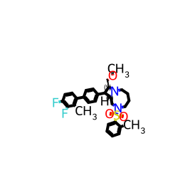 COC[C@@H]1C(c2ccc(-c3ccc(F)c(F)c3C)cc2)[C@@H]2CN(S(=O)(=O)c3ccccc3C)CCCCN12